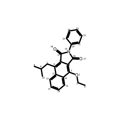 CCOc1c2c(c(CC(C)C)c3ccccc13)C(=O)N(c1cc[c]cc1)C2=O